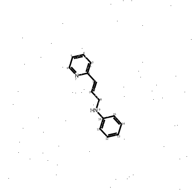 C(=Cc1ccccn1)CNc1ccccc1